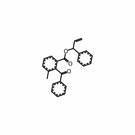 C=CC(OC(=O)c1cccc(C)c1C(=O)c1ccccc1)c1ccccc1